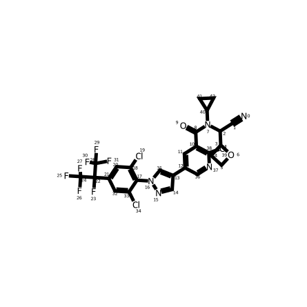 N#CC(C1CCO1)N(C(=O)c1cc(-c2cnn(-c3c(Cl)cc(C(F)(C(F)(F)F)C(F)(F)F)cc3Cl)c2)cnc1Cl)C1CC1